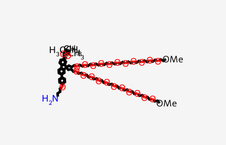 COCCOCCOCCOCCOCCOCCOCCOCCOCCOCCOCCOCCCC1(CCCOCCOCCOCCOCCOCCOCCOCCOCCOCCOCCOCCOC)c2cc(B3OC(C)(C)C(C)(C)O3)ccc2-c2ccc(-c3ccc(OCCCCN)cc3)cc21